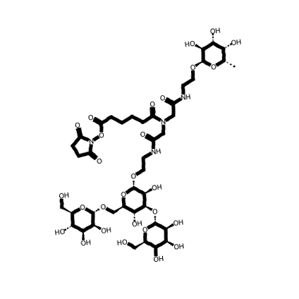 C[C@@H]1O[C@@H](OCCNC(=O)CN(CC(=O)NCCO[C@H]2O[C@H](CO[C@H]3O[C@H](CO)[C@@H](O)[C@H](O)[C@@H]3O)[C@@H](O)[C@H](O[C@H]3O[C@H](CO)C(O)[C@H](O)[C@@H]3O)[C@@H]2O)C(=O)CCCCC(=O)ON2C(=O)CCC2=O)[C@@H](O)[C@H](O)[C@@H]1O